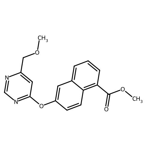 COCc1cc(Oc2ccc3c(C(=O)OC)cccc3c2)ncn1